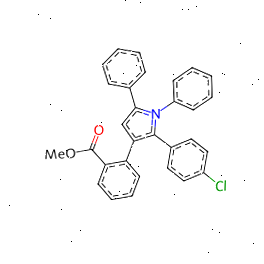 COC(=O)c1ccccc1-c1cc(-c2ccccc2)n(-c2ccccc2)c1-c1ccc(Cl)cc1